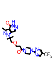 Cc1nn(C(C)(C)COCCC(=O)N2CCN(c3ncc(C(F)(F)F)cn3)CC2)c2cn[nH]c(=O)c12